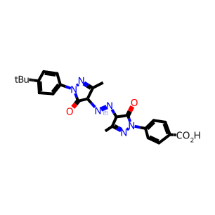 CC1=NN(c2ccc(C(=O)O)cc2)C(=O)C1/N=N/C1C(=O)N(c2ccc(C(C)(C)C)cc2)N=C1C